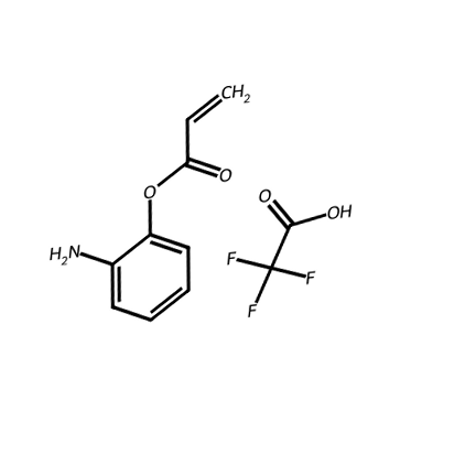 C=CC(=O)Oc1ccccc1N.O=C(O)C(F)(F)F